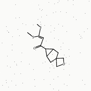 CSC(=CC(=O)C1C2CC3(COC3)CC21)SC